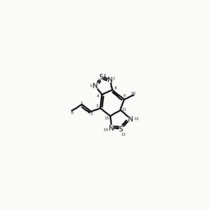 C/C=C/C1=C2N=S=NC2=C(C)C2N=S=NC12